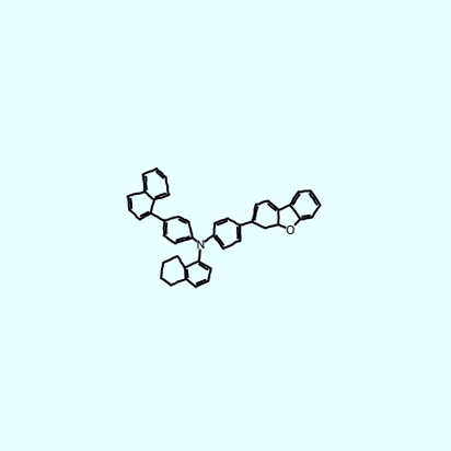 C1=C(c2ccc(N(c3ccc(-c4cccc5ccccc45)cc3)c3cccc4c3CCCC4)cc2)CC2Oc3ccccc3C2=C1